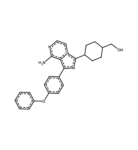 Nc1nccn2c(C3CCC(CO)CC3)nc(-c3ccc(Oc4ccccc4)cc3)c12